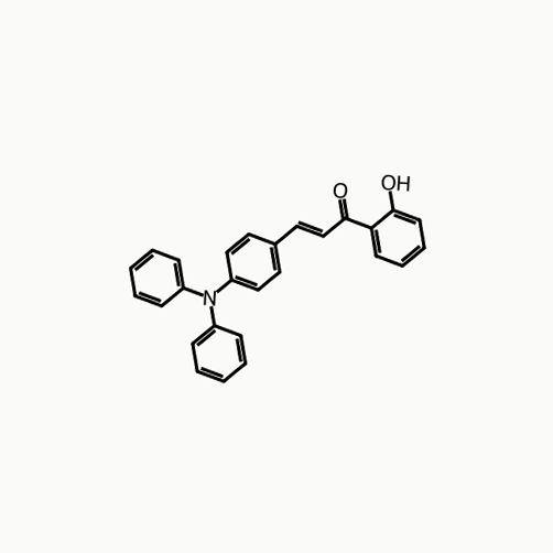 O=C(C=Cc1ccc(N(c2ccccc2)c2ccccc2)cc1)c1ccccc1O